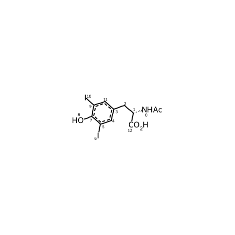 CC(=O)N[C@@H](Cc1cc(I)c(O)c(I)c1)C(=O)O